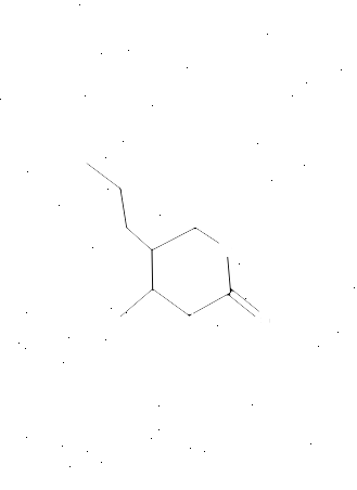 CCCC1COC(=O)CC1C